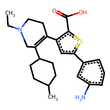 CCN1CCC(c2cc(-c3cccc(N)c3)sc2C(=O)O)=C(C2CCC(C)CC2)C1